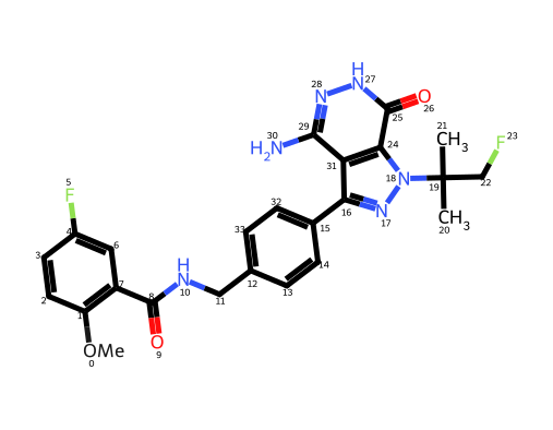 COc1ccc(F)cc1C(=O)NCc1ccc(-c2nn(C(C)(C)CF)c3c(=O)[nH]nc(N)c23)cc1